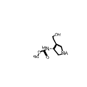 CC(C)(C)OC(=O)N[C@H]1CNCC1CO